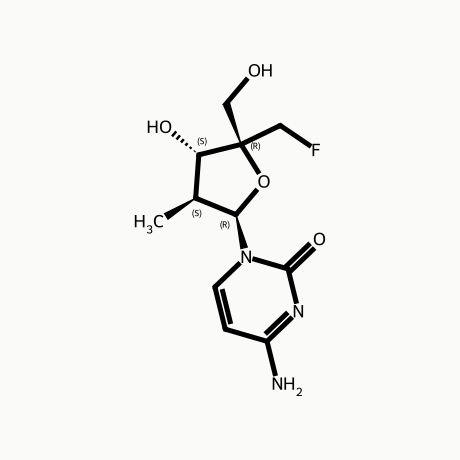 C[C@@H]1[C@H](n2ccc(N)nc2=O)O[C@@](CO)(CF)[C@H]1O